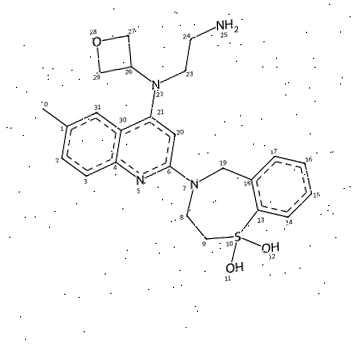 Cc1ccc2nc(N3CCS(O)(O)c4ccccc4C3)cc(N(CCN)C3COC3)c2c1